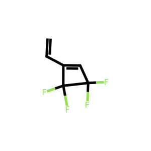 C=CC1=CC(F)(F)C1(F)F